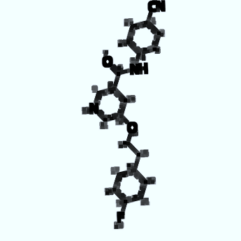 N#Cc1ccc(NC(=O)c2cncc(OCCc3ccc(F)cc3)c2)cc1